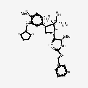 CCCC[C@@H](NC(=O)OCc1ccccc1)C(=O)N1C[C@@H](c2ccc(OC)c(OC3CCCC3)c2)[C@](C)([C@@H](C)O)C1